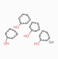 Oc1ccccc1.Oc1ccccc1.Oc1ccccc1.Oc1ccccc1.[Ge]